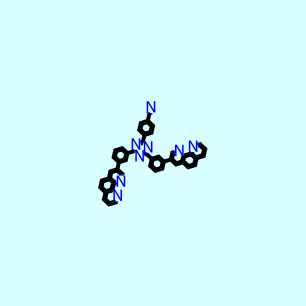 N#Cc1ccc(-c2nc(-c3cccc(-c4cnc5c(ccc6cccnc65)c4)c3)nc(-c3cccc(-c4cnc5c(ccc6cccnc65)c4)c3)n2)cc1